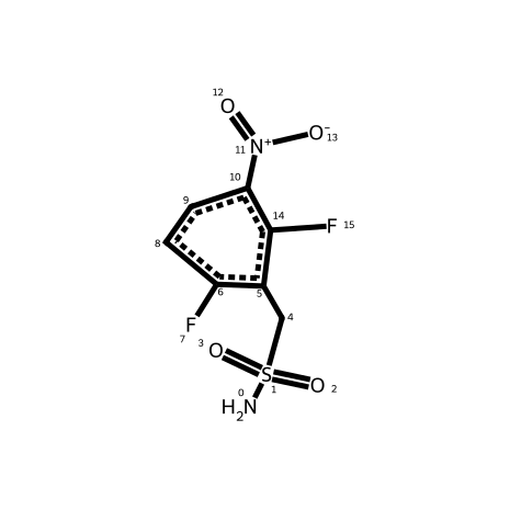 NS(=O)(=O)Cc1c(F)ccc([N+](=O)[O-])c1F